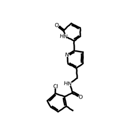 Cc1cccc(Cl)c1C(=O)NCc1ccc(-c2cccc(=O)[nH]2)nc1